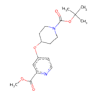 COC(=O)c1cc(OC2CCN(C(=O)OC(C)(C)C)CC2)ccn1